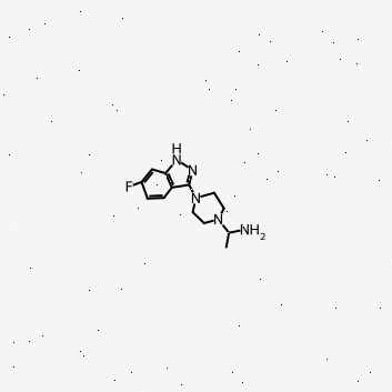 CC(N)N1CCN(c2n[nH]c3cc(F)ccc23)CC1